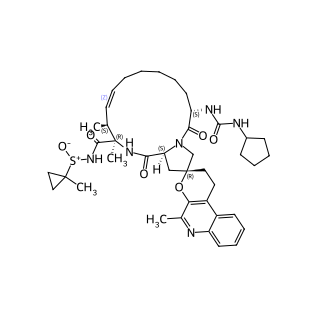 Cc1nc2ccccc2c2c1O[C@]1(CC2)C[C@H]2C(=O)N[C@@](C)(C(=O)N[S+]([O-])C3(C)CC3)[C@@H](C)/C=C\CCCCC[C@H](NC(=O)NC3CCCC3)C(=O)N2C1